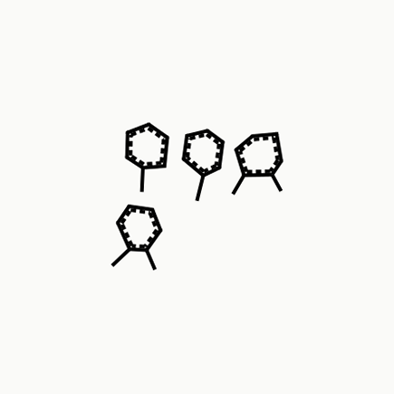 Cc1ccccc1.Cc1ccccc1.Cc1ccccc1C.Cc1ccccc1C